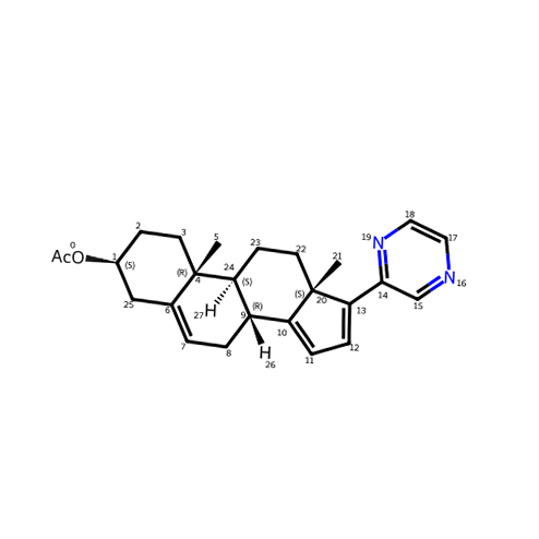 CC(=O)O[C@H]1CC[C@@]2(C)C(=CC[C@H]3C4=CC=C(c5cnccn5)[C@@]4(C)CC[C@@H]32)C1